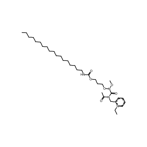 CCCCCCCCCCCCCCCCCCNC(=O)OCCCON(OC)C(=O)N(Cc1cccc[n+]1CC)C(C)=O